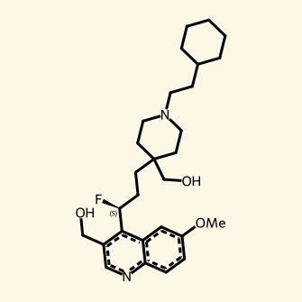 COc1ccc2ncc(CO)c([C@@H](F)CCC3(CO)CCN(CCC4CCCCC4)CC3)c2c1